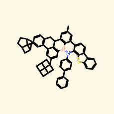 Cc1cc2c3c(c1)C1Cc4ccc(C56C7CCC5CC6C7)cc4-c4cc(C56CC7CC8CC(C5)C876)cc(c41)B3N(c1ccc(-c3ccccc3)cc1)c1c-2ccc2c1sc1ccccc12